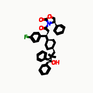 CC(C)(C[C@H]1CC[C@H]([C@@H](CC(=O)N2C(=O)OC[C@@H]2c2ccccc2)c2ccc(F)cc2)CC1)[Si](O)(c1ccccc1)c1ccccc1